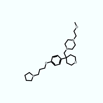 COCCN1CCN(CC2(c3ccc(OCCCN4CCCC4)cc3)CCOCC2)CC1